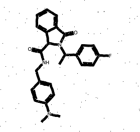 CC(c1ccc(F)cc1)N1C(=O)c2ccccc2C1C(=O)NCc1ccc(N(C)C)cc1